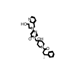 C[C@H](CC(=O)N1CCC(O)(Cn2cnc(N(CCO)Cc3cccnc3)cc2=O)CC1)c1ccccc1